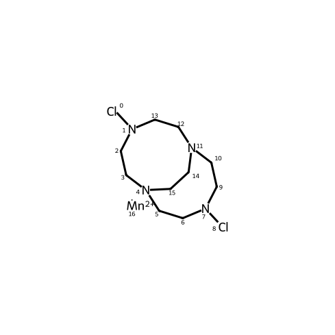 ClN1CCN2CCN(Cl)CCN(CC1)CC2.[Mn+2]